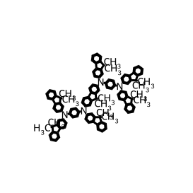 CC1(C)c2ccccc2-c2ccc(N(c3ccc(N(c4ccc5c(c4)C(C)(C)c4ccccc4-5)c4ccc5c(c4)C(C)(C)c4cc(N(c6ccc(N(c7ccc8c(c7)C(C)(C)c7ccccc7-8)c7ccc8c(c7)C(C)(C)c7ccccc7-8)cc6)c6ccc7c(c6)C(C)(C)c6ccccc6-7)ccc4-5)cc3)c3ccc4c(c3)C(C)(C)c3ccccc3-4)cc21